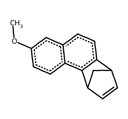 COc1ccc2c3c(ccc2c1)C1C=CC3C1